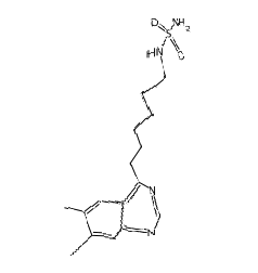 Cc1cc2ncnc(CCCCCCNS(N)(=O)=O)c2cc1C